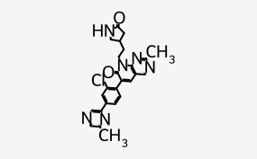 Cc1cncc(-c2ccc(-c3cc4cnc(C)nc4n(CCC4CNC(=O)C4)c3=O)c(Cl)c2)n1